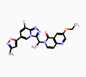 Cc1cc(-c2cc(F)c3nnc(C(C)n4ccc5ncc(OCC(F)(F)F)cc5c4=O)n3c2)on1